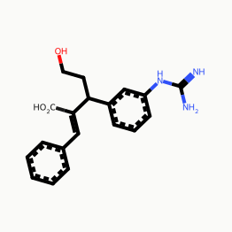 N=C(N)Nc1cccc(C(CCO)C(=Cc2ccccc2)C(=O)O)c1